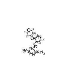 Nc1ncc(Br)nc1OCc1ccncc1OC1CCOCC1